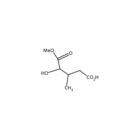 COC(=O)C(O)C(C)CC(=O)O